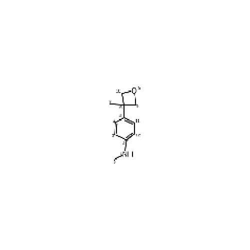 CNc1ccc(C2(C)COC2)cc1